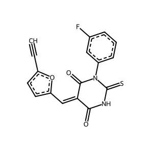 C#Cc1ccc(C=C2C(=O)NC(=S)N(c3cccc(F)c3)C2=O)o1